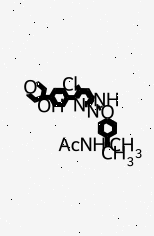 CC(=O)NC(C)(C)C1C=CC(Oc2nc3nc(C4C=CC(C5(O)CCOCC5)=CC4)c(Cl)cc3[nH]2)=CC1